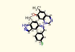 [CH2]c1cc2c(cc1OC)N(N(Cc1cccc(F)c1)c1ccc3[nH]ncc3c1)CN=C2